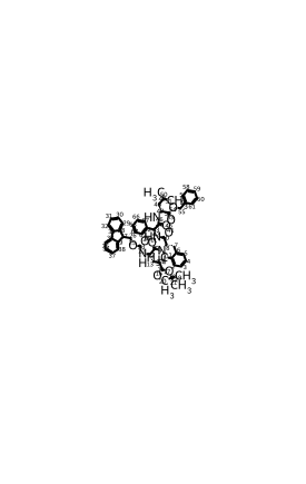 Cc1ccccc1C[C@H](NC(=O)[C@H](CCC(=O)OC(C)(C)C)NC(=O)OCC1c2ccccc2-c2ccccc21)C(=O)N[C@H](C(=O)N[C@@H](CC(C)C)C(=O)OCc1ccccc1)c1ccccc1